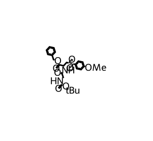 COc1ccc(S(=O)(=O)CC(NC(=O)CNC(=O)OC(C)(C)C)C(=O)OCc2ccccc2)cc1